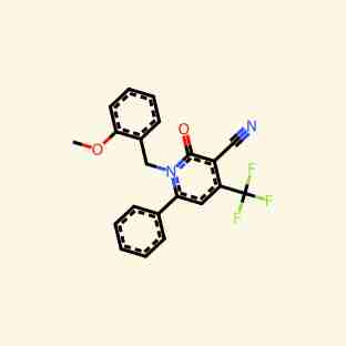 COc1ccccc1Cn1c(-c2ccccc2)cc(C(F)(F)F)c(C#N)c1=O